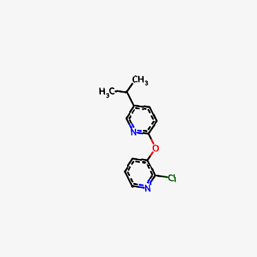 CC(C)c1ccc(Oc2cccnc2Cl)nc1